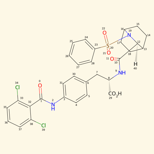 O=C(Nc1ccc(C[C@H](NC(=O)[C@@H]2C3CCC(CC3)N2S(=O)(=O)c2ccccc2)C(=O)O)cc1)c1c(Cl)cccc1Cl